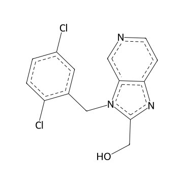 OCc1nc2ccncc2n1Cc1cc(Cl)ccc1Cl